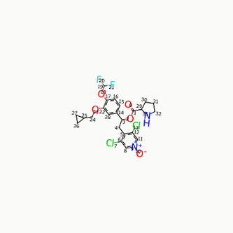 O=C(OC(Cc1c(Cl)c[n+]([O-])cc1Cl)c1ccc(OC(F)F)c(OCC2CC2)c1)C1CCCN1